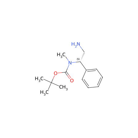 CN(C(=O)OC(C)(C)C)[C@H](CN)c1ccccc1